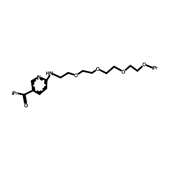 CC(C)OCCOCCOCCOCCNc1ccc(C(=O)C(C)C)cn1